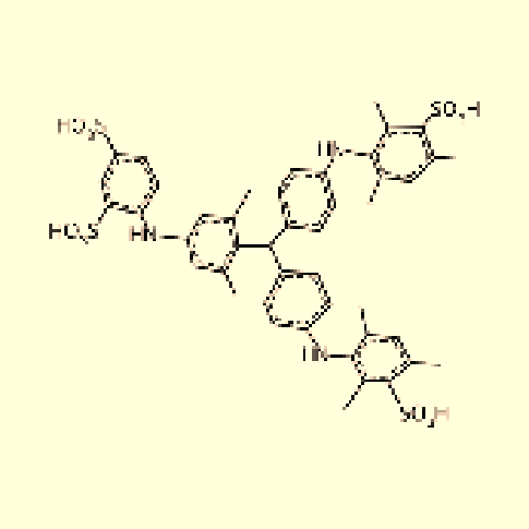 Cc1cc(C)c(S(=O)(=O)O)c(C)c1Nc1ccc(C(c2ccc(Nc3c(C)cc(C)c(S(=O)(=O)O)c3C)cc2)c2c(C)cc(Nc3ccc(S(=O)(=O)O)cc3S(=O)(=O)O)cc2C)cc1